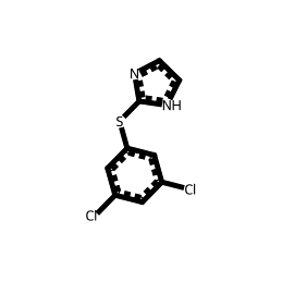 Clc1cc(Cl)cc(Sc2ncc[nH]2)c1